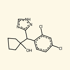 OC1(C(c2nc[nH]n2)c2ccc(Cl)cc2Cl)CCCC1